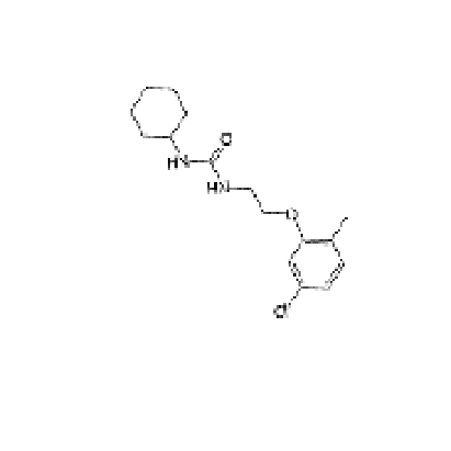 Cc1ccc(Cl)cc1OCCNC(=O)NC1CCCCC1